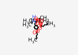 CCCCC(=O)Oc1ccc(C[C@](NC(C)CC)(OC(=O)C(C)(C)CC)C(=O)O)cc1OC(=O)CCCC